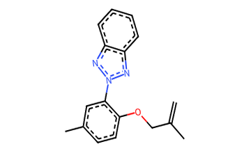 C=C(C)COc1ccc(C)cc1-n1nc2ccccc2n1